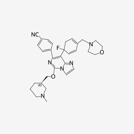 CN1CCC[C@@H](COc2nc(-c3ccc(C#N)cc3)c(C3(F)C=CC(CN4CCOCC4)=CC3)c3nccn23)C1